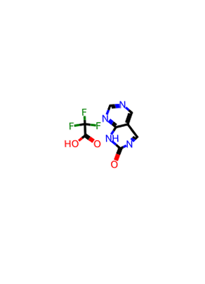 O=C(O)C(F)(F)F.O=c1ncc2cncnc2[nH]1